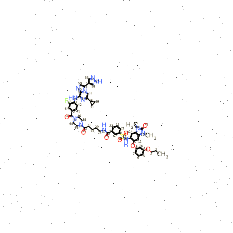 CCCOc1cccc(Oc2cc3c(cc2NS(=O)(=O)c2cccc(C(=O)NCCCCC(=O)N4CCN(C(=O)c5ccc(Nc6nc(C7CC7)cn7c(-c8cn[nH]c8)cnc67)c(F)c5)CC4)c2)n(C)c(=O)n3C)c1